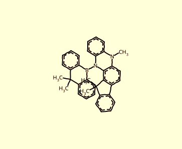 CN1c2ccccc2N(B2c3ccccc3C(C)(C)c3ccccc32)c2c1ccc1c2C(C)(C)c2ccccc2-1